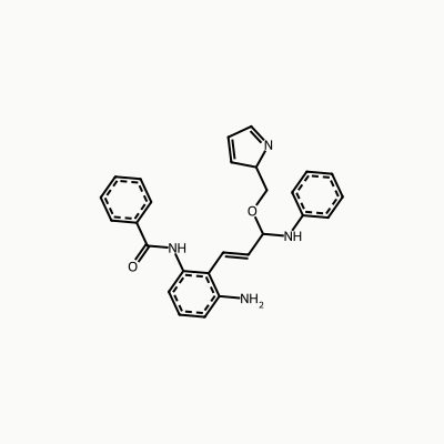 Nc1cccc(NC(=O)c2ccccc2)c1/C=C/C(Nc1ccccc1)OCC1C=CC=N1